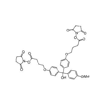 COc1ccc(C(O)(c2ccc(OCCCC(=O)ON3C(=O)CCC3=O)cc2)c2ccc(OCCCC(=O)ON3C(=O)CCC3=O)cc2)cc1